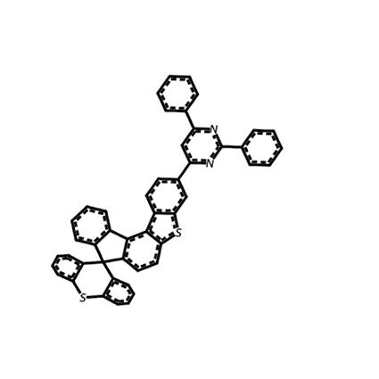 c1ccc(-c2cc(-c3ccc4c(c3)sc3ccc5c(c34)-c3ccccc3C53c4ccccc4Sc4ccccc43)nc(-c3ccccc3)n2)cc1